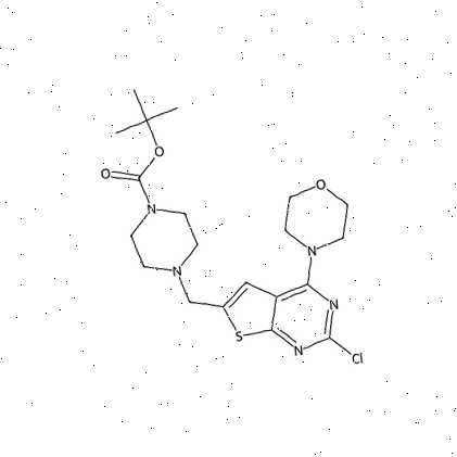 CC(C)(C)OC(=O)N1CCN(Cc2cc3c(N4CCOCC4)nc(Cl)nc3s2)CC1